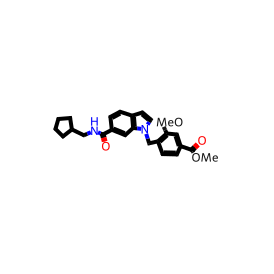 COC(=O)c1ccc(Cn2ccc3ccc(C(=O)NCC4CCCC4)cc32)c(OC)c1